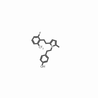 Cc1ccc(CCc2c(F)cccc2C(F)(F)F)n1CCc1ccc(O)cc1